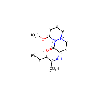 CC(C)CCC(NC1CCN2CCCC(OC(=O)O)N2C1=O)C(=O)O